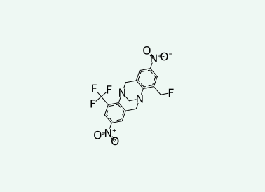 O=[N+]([O-])c1cc(CF)c2c(c1)CN1CN2Cc2cc([N+](=O)[O-])cc(C(F)(F)F)c21